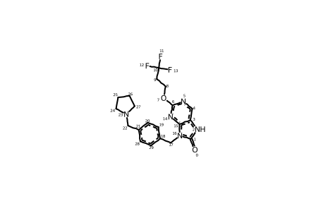 O=c1[nH]c2cnc(OCCC(F)(F)F)nc2n1Cc1ccc(CN2CCCC2)cc1